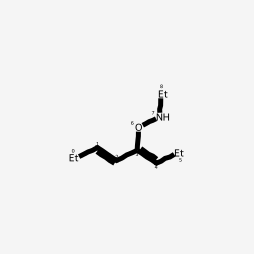 CCC=CC(=CCC)ONCC